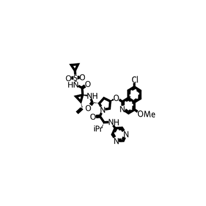 C=C[C@@H]1C[C@]1(NC(=O)[C@@H]1C[C@@H](Oc2ncc(OC)c3ccc(Cl)cc23)CN1C(=O)[C@H](Nc1cncnc1)C(C)C)C(=O)NS(=O)(=O)C1CC1